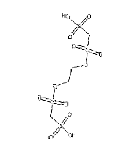 O=S(=O)(O)CS(=O)(=O)OCCOS(=O)(=O)CS(=O)(=O)O